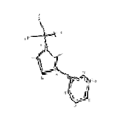 FC(F)(F)N1C=CN(c2cccnc2)C1